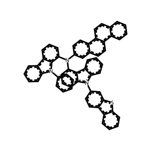 c1ccc(-n2c3ccccc3c3cccc(N(c4ccc5c(ccc6c7ccccc7ccc56)c4)c4cccc5c4c4ccccc4n5-c4ccc5c(c4)sc4ccccc45)c32)cc1